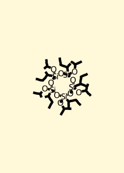 CCC(C)[Si]1(OC(C)C)O[Si](OC(C)C)(C(C)CC)O[Si](OC(C)C)(C(C)CC)O[Si](OC(C)C)(C(C)CC)O[Si](OC(C)C)(C(C)CC)O1